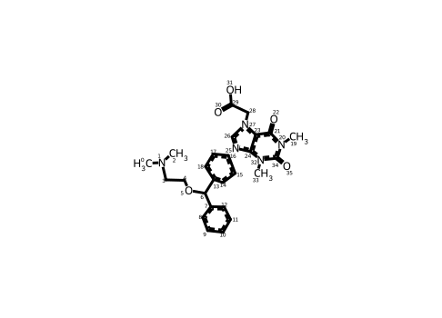 CN(C)CCOC(c1ccccc1)c1ccccc1.Cn1c(=O)c2c(ncn2CC(=O)O)n(C)c1=O